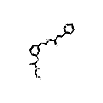 CCNC(=O)Oc1cccc(CCNC(=O)/C=C/c2cccnc2)c1